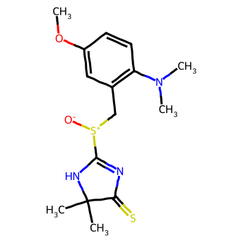 COc1ccc(N(C)C)c(C[S+]([O-])C2=NC(=S)C(C)(C)N2)c1